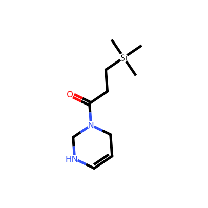 C[Si](C)(C)CCC(=O)N1CC=CNC1